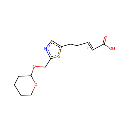 O=C(O)/C=C/CCc1cnc(COC2CCCCO2)s1